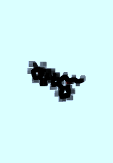 CCCCCC1=NN(C(=O)N[C@@]2(C)[C@H]3CC[C@]2(C)CC3)CC1c1ccccc1F